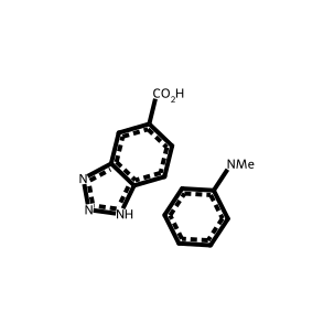 CNc1ccccc1.O=C(O)c1ccc2[nH]nnc2c1